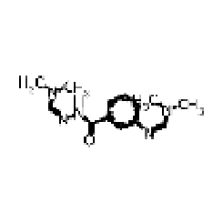 CN(C)/C=N\NC(=O)c1cccc(/N=C\N(C)C)c1